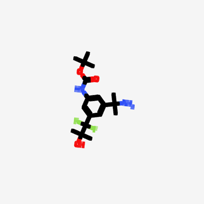 CC(C)(C)OC(=O)Nc1cc(C(C)(C)N)cc(C(F)(F)C(C)(C)O)c1